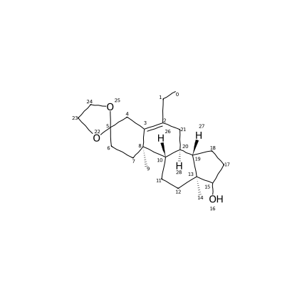 CCC1=C2CC3(CC[C@]2(C)[C@H]2CC[C@]4(C)C(O)CC[C@H]4[C@@H]2C1)OCCO3